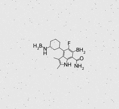 BNC1CCCC(c2c(F)c(B)c(C(N)=O)c3[nH]c(C)c(C)c23)C1